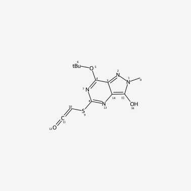 Cn1nc2c(OC(C)(C)C)nc(SC=C=O)nc2c1O